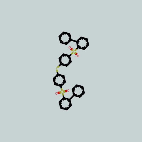 O=S(=O)(c1ccc(Sc2ccc(S(=O)(=O)c3ccccc3-c3ccccc3)cc2)cc1)c1ccccc1-c1ccccc1